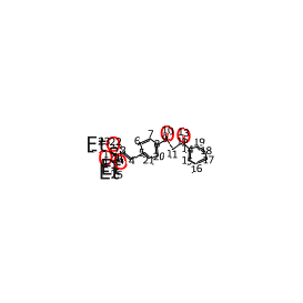 CCO[Si](C=Cc1ccc(C(=O)CC(=O)c2ccccc2)cc1)(OCC)OCC